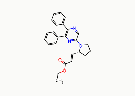 CCOC(=O)C=C[C@H]1CCCN1c1cnc(-c2ccccc2)c(-c2ccccc2)n1